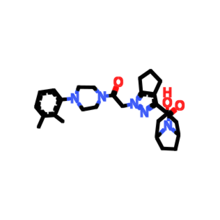 Cc1cccc(N2CCN(C(=O)Cn3nc(C(=O)N4C5CCC4CC(O)C5)c4c3CCC4)CC2)c1C